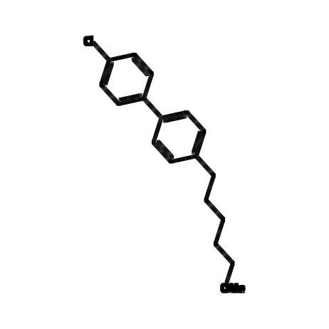 COCCCCCc1ccc(-c2ccc(Cl)cc2)cc1